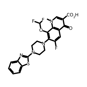 Cn1cc(C(=O)O)c(=O)c2cc(F)c(N3CCN(c4nc5ccccc5s4)CC3)c(OC(F)F)c21